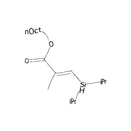 CCCCCCCCOC(=O)C(C)=C[SiH](C(C)C)C(C)C